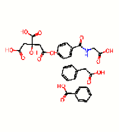 O=C(O)CC(O)(CC(=O)O)C(=O)O.O=C(O)CNC(=O)c1ccccc1.O=C(O)Cc1ccccc1.O=C(O)c1ccccc1